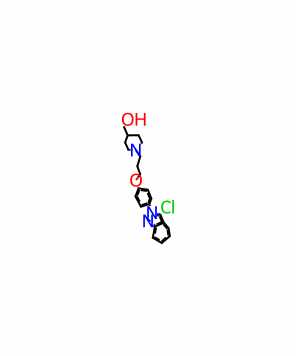 OCC1CCN(CCCOc2ccc(-n3nc4ccccc4c3Cl)cc2)CC1